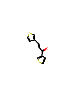 O=C(/C=C/c1ccsc1)c1ccsc1